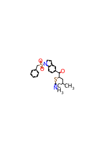 CC(C)CC(SC#N)C(=O)c1ccc2c(ccn2S(=O)(=O)Cc2ccccc2)c1